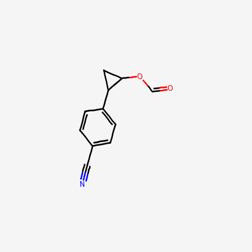 N#Cc1ccc(C2CC2OC=O)cc1